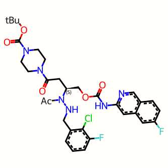 CC(=O)N(NCc1cccc(F)c1Cl)[C@H](COC(=O)Nc1cc2cc(F)ccc2cn1)CC(=O)N1CCN(C(=O)OC(C)(C)C)CC1